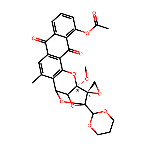 CO[C@@]12Oc3c4c(cc(C)c3C3OC(C5OCCCO5)(OC31)[C@]21CO1)C(=O)c1cccc(OC(C)=O)c1C4=O